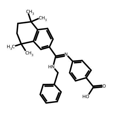 CC1(C)CCC(C)(C)c2cc(C(=Nc3ccc(C(=O)O)cc3)NCc3ccccc3)ccc21